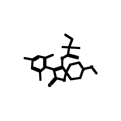 CCC(C)(C)C(=O)OC1=C(c2c(C)cc(C)cc2C)C(=O)OC12CCN(OC)CC2